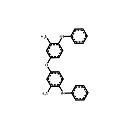 Nc1cc(Oc2ccc(Nc3ccccc3)c(N)c2)ccc1Nc1ccccc1